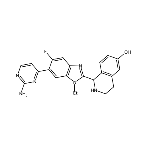 CCn1c(C2NCCc3cc(O)ccc32)nc2cc(F)c(-c3ccnc(N)n3)cc21